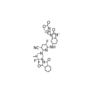 C[C@H]1CN(c2nc(Nc3ccc4c(c3)n(C[C@H]3COC(=O)N3)c(=O)n4C)c(F)cc2C#N)C[C@@H](N2C(=O)c3ccccc3C2=O)C1(F)F